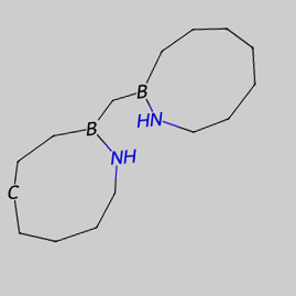 C1CCCNB(CB2CCCCCCCN2)CCC1